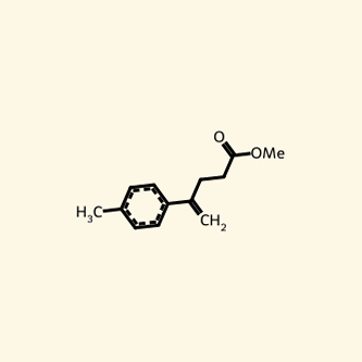 C=C(CCC(=O)OC)c1ccc(C)cc1